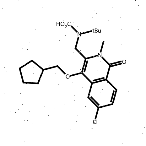 Cn1c(CN(C(=O)O)C(C)(C)C)c(OCC2CCCC2)c2cc(Cl)ccc2c1=O